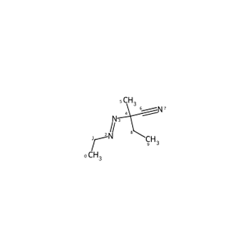 C[CH]N=NC(C)(C#N)CC